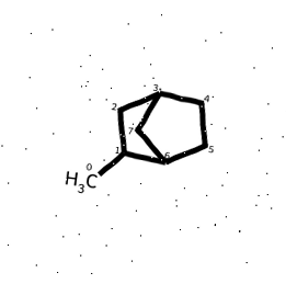 CC1C[C]2CCC1C2